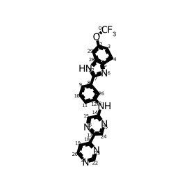 FC(F)(F)Oc1ccc2nc(-c3cccc(Nc4cnc(-c5ccncn5)cn4)c3)[nH]c2c1